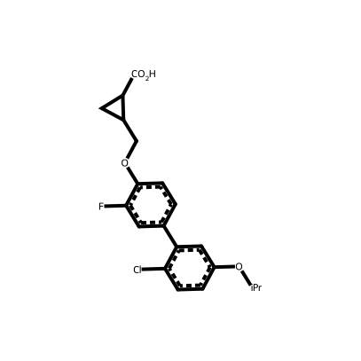 CC(C)Oc1ccc(Cl)c(-c2ccc(OCC3CC3C(=O)O)c(F)c2)c1